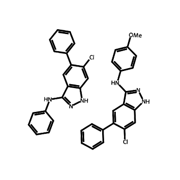 COc1ccc(Nc2n[nH]c3cc(Cl)c(-c4ccccc4)cc23)cc1.Clc1cc2[nH]nc(Nc3ccccc3)c2cc1-c1ccccc1